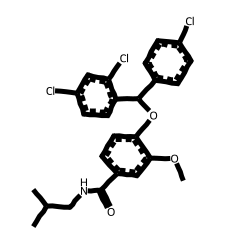 COc1cc(C(=O)NCC(C)C)ccc1OC(c1ccc(Cl)cc1)c1ccc(Cl)cc1Cl